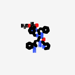 COc1ccc(Cn2c([C@H](Cc3ccccc3)NC(C)=O)nnc2[C@@H](Cc2c[nH]c3ccccc23)NC(=O)c2ccccn2)cc1